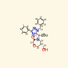 CC(C)(C)C(c1nc(-c2ccccc2)nn1Cc1ccccc1)N1C[C@H](CO)COCC1=O